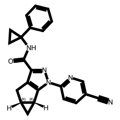 N#Cc1ccc(-n2nc(C(=O)NC3(c4ccccc4)CC3)c3c2[C@@H]2C[C@@H]2C3)nc1